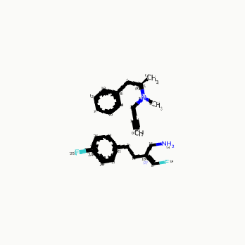 C#CCN(C)[C@H](C)Cc1ccccc1.NC/C(=C\F)CCc1ccc(F)cc1